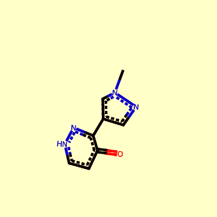 Cn1cc(-c2n[nH]ccc2=O)cn1